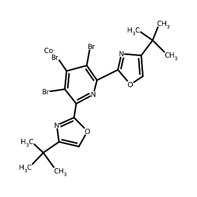 CC(C)(C)c1coc(-c2nc(-c3nc(C(C)(C)C)co3)c(Br)c(Br)c2Br)n1.[Co]